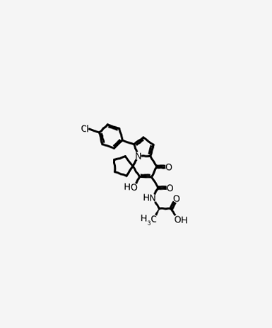 C[C@@H](NC(=O)C1=C(O)C2(CCCC2)n2c(ccc2-c2ccc(Cl)cc2)C1=O)C(=O)O